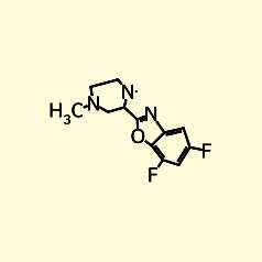 CN1CC[N]C(c2nc3cc(F)cc(F)c3o2)C1